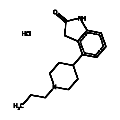 CCCN1CCC(c2cccc3c2CC(=O)N3)CC1.Cl